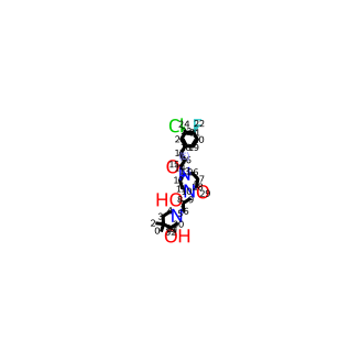 CC1(C)CCN(CC(O)CN2CCN(C(=O)/C=C/c3ccc(F)c(Cl)c3)CCC2=O)C[C@H]1O